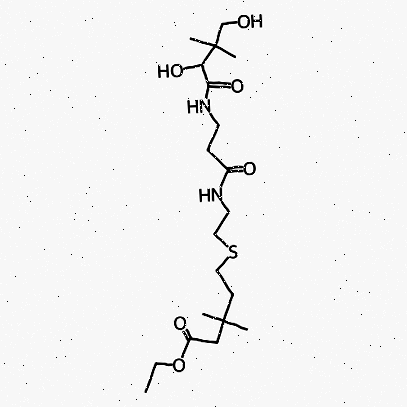 CCOC(=O)CC(C)(C)CCSCCNC(=O)CCNC(=O)C(O)C(C)(C)CO